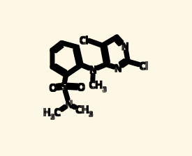 CN(c1ccccc1S(=O)(=O)N(C)C)c1nc(Cl)ncc1Cl